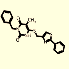 Cc1c(SCc2csc(-c3ccccc3)n2)[nH]c(=O)n(Cc2ccccc2)c1=O